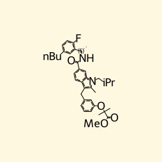 CCCCc1ccc(F)c([C@H](C)NC(=O)c2ccc3c(Cc4cccc(OC(C)(C)C(=O)OC)c4)c(C)n(CC(C)C)c3c2)c1